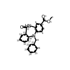 COC(=O)c1ccc2c(c1)NC(=O)c1ccccc1N2Cc1ccccc1